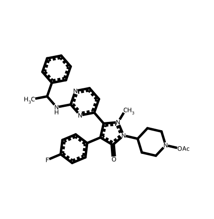 CC(=O)ON1CCC(n2c(=O)c(-c3ccc(F)cc3)c(-c3ccnc(NC(C)c4ccccc4)n3)n2C)CC1